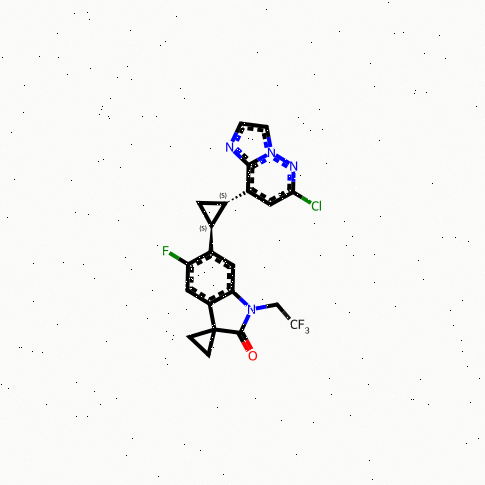 O=C1N(CC(F)(F)F)c2cc([C@H]3C[C@@H]3c3cc(Cl)nn4ccnc34)c(F)cc2C12CC2